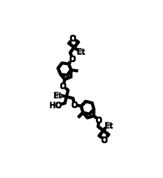 CCC1(COC2CC3(C)CC2CCC3OCC(CC)(CO)COC2CC3(C)CC2CCC3OCC2(CC)COC2)COC1